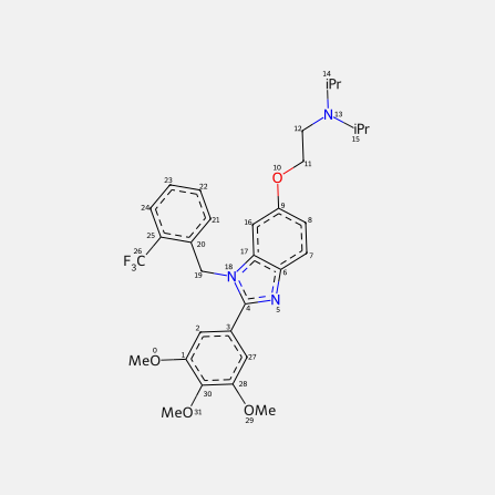 COc1cc(-c2nc3ccc(OCCN(C(C)C)C(C)C)cc3n2Cc2ccccc2C(F)(F)F)cc(OC)c1OC